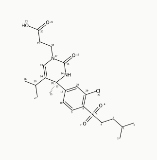 CC(C)CCS(=O)(=O)c1ccc([C@]2(C)NC(=O)N(CCC(=O)O)C=C2C(C)C)cc1Cl